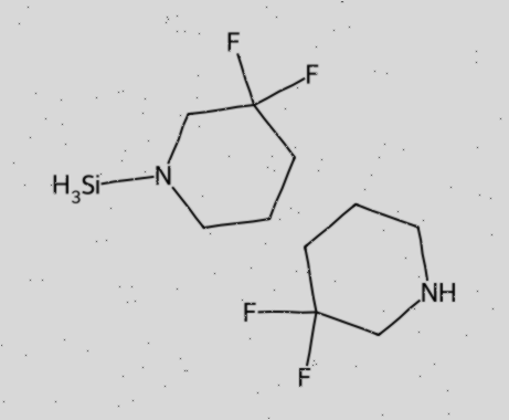 FC1(F)CCCN([SiH3])C1.FC1(F)CCCNC1